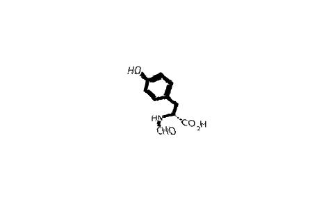 O=CN[C@H](Cc1ccc(O)cc1)C(=O)O